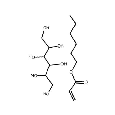 C=CC(=O)OCCCCCC.OCC(O)C(O)C(O)C(O)CO